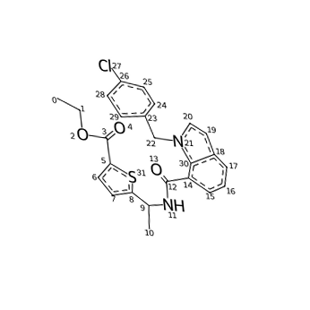 CCOC(=O)c1ccc(C(C)NC(=O)c2cccc3ccn(Cc4ccc(Cl)cc4)c23)s1